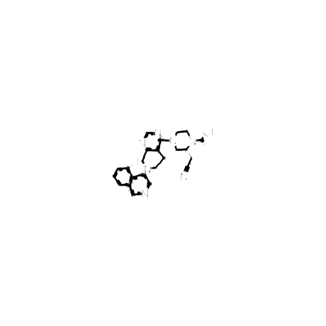 N#CC[C@H]1CN(c2ncnc3c2CCN(c2cncc4cccc(Cl)c24)C3)CCN1C(=O)O